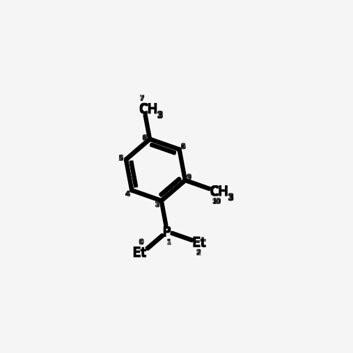 CCP(CC)c1ccc(C)cc1C